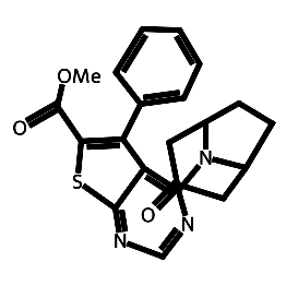 COC(=O)c1sc2ncnc(N3C4CCC3CC(=O)C4)c2c1-c1ccccc1